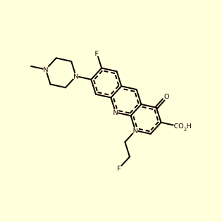 CN1CCN(c2cc3nc4c(cc3cc2F)c(=O)c(C(=O)O)cn4CCF)CC1